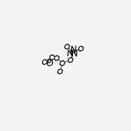 c1ccc(-c2cc(-c3cccc(-c4nc(-c5ccccc5)nc(-c5ccccc5)n4)c3)cc(-c3ccc4ccc5c6ccccc6oc5c4c3)c2)cc1